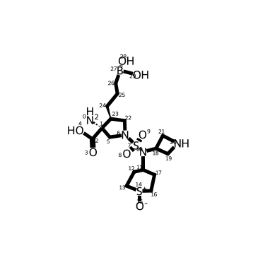 N[C@@]1(C(=O)O)CN(S(=O)(=O)N(C2CC[S+]([O-])CC2)C2CNC2)C[C@@H]1CCCB(O)O